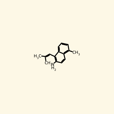 CC(C)=Cc1c(N)ccc2c(C)cccc12